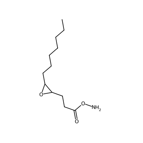 CCCCCCCC1OC1CCC(=O)ON